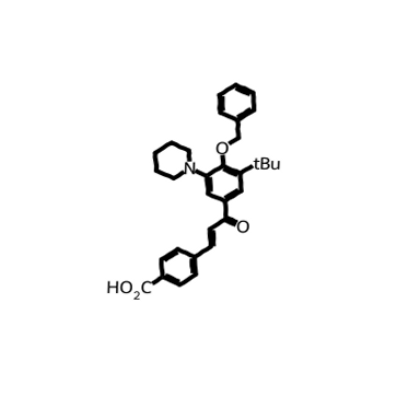 CC(C)(C)c1cc(C(=O)C=Cc2ccc(C(=O)O)cc2)cc(N2CCCCC2)c1OCc1ccccc1